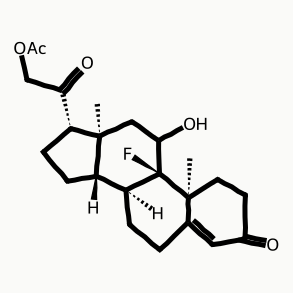 CC(=O)OCC(=O)[C@H]1CC[C@H]2[C@@H]3CCC4=CC(=O)CC[C@]4(C)[C@@]3(F)C(O)C[C@]12C